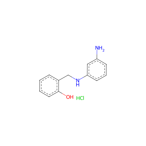 Cl.Nc1cccc(NCc2ccccc2O)c1